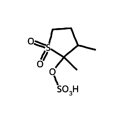 CC1CCS(=O)(=O)C1(C)OS(=O)(=O)O